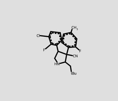 Cc1ccc(C2(C#N)C(CC(C)(C)C)NCC2c2cccc(Cl)c2F)c(F)c1